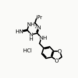 CC(C)CN=C(NCc1ccc2c(c1)OCO2)NC(=N)N.Cl